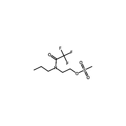 CCCN(CCOS(C)(=O)=O)C(=O)C(F)(F)F